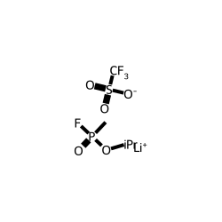 CC(C)OP(C)(=O)F.O=S(=O)([O-])C(F)(F)F.[Li+]